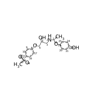 CC(NCC(O)COc1ccc(S(C)(=O)=O)cc1)Oc1ccc(O)cc1